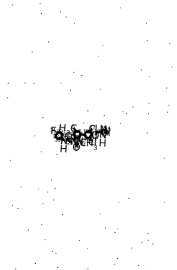 Cc1cc(-c2cc(Cl)c(OCc3nnc[nH]3)c(Cl)c2)c2c(c1)n(CC(=O)Nc1ccc(F)cc1)c(=O)n2C